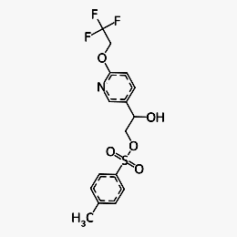 Cc1ccc(S(=O)(=O)OCC(O)c2ccc(OCC(F)(F)F)nc2)cc1